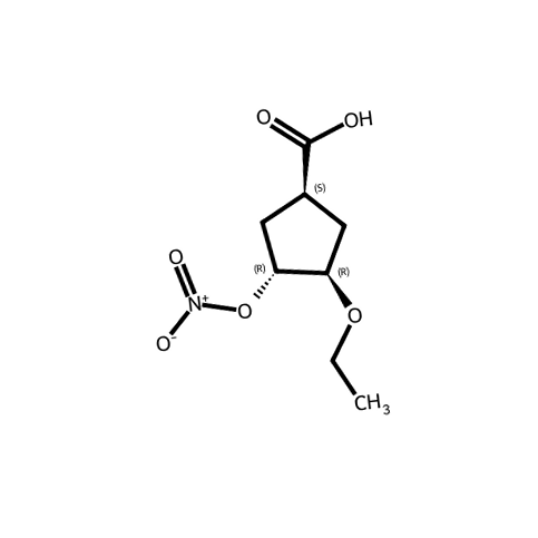 CCO[C@@H]1C[C@H](C(=O)O)C[C@H]1O[N+](=O)[O-]